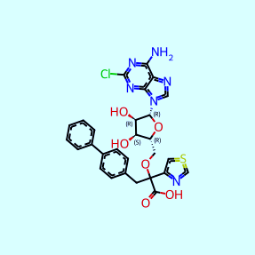 Nc1nc(Cl)nc2c1ncn2[C@@H]1O[C@H](COC(Cc2ccc(-c3ccccc3)cc2)(C(=O)O)c2cscn2)[C@@H](O)[C@H]1O